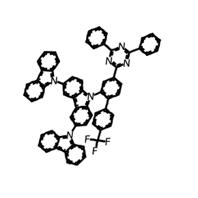 FC(F)(F)c1ccc(-c2ccc(-c3nc(-c4ccccc4)nc(-c4ccccc4)n3)cc2-n2c3ccc(-n4c5ccccc5c5ccccc54)cc3c3cc(-n4c5ccccc5c5ccccc54)ccc32)cc1